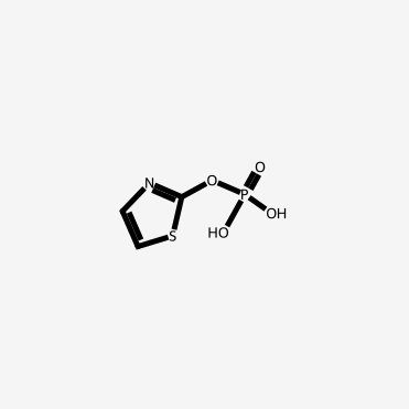 O=P(O)(O)Oc1nccs1